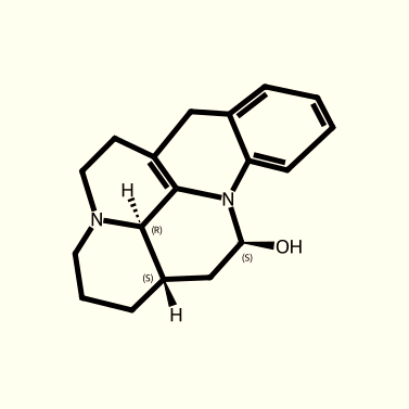 O[C@H]1C[C@@H]2CCCN3CCC4=C([C@@H]23)N1c1ccccc1C4